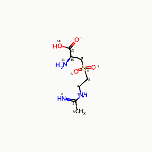 CC(=N)NCCS(=O)(=O)C[C@@H](N)C(=O)O